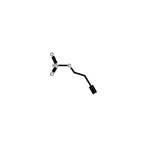 C#CCCO[SH](=O)=O